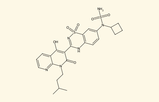 CC(C)CCn1c(=O)c(C2=NS(=O)(=O)c3cc(N(C4CCC4)S(N)(=O)=O)ccc3N2)c(O)c2cccnc21